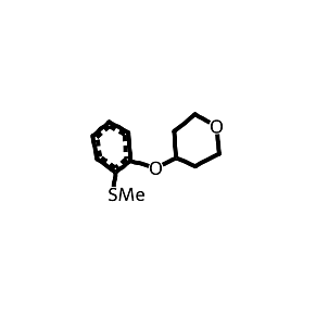 CSc1ccccc1OC1CCOCC1